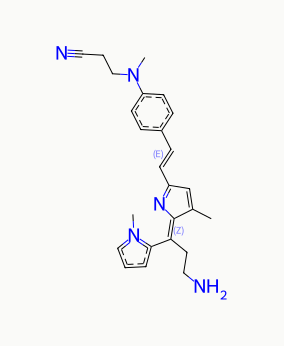 CC1=CC(/C=C/c2ccc(N(C)CCC#N)cc2)=NC/1=C(/CCN)c1cccn1C